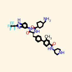 Cc1cc(C(=O)NC2CCNCC2)ccc1-c1ccc(C[C@H](NC(=O)C2CCC(CN)CC2)C(=O)Nc2ccc3[nH]c(C(F)(F)C(F)(F)F)nc3c2)cc1